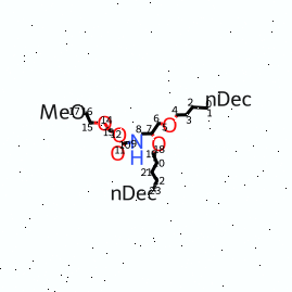 CCCCCCCCCCCCCCOCC(CNC(=O)OCOCCOC)OCCCCCCCCCCCCCC